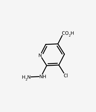 NNc1ncc(C(=O)O)cc1Cl